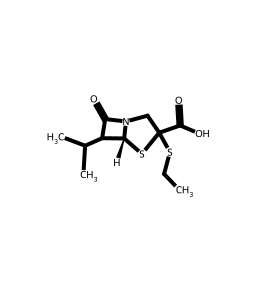 CCSC1(C(=O)O)CN2C(=O)C(C(C)C)[C@H]2S1